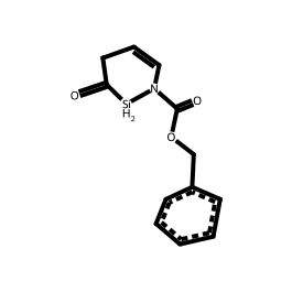 O=C1CC=CN(C(=O)OCc2ccccc2)[SiH2]1